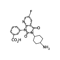 NC1CCC(n2c(=O)c3cc(F)cnc3n(-c3cccc(C(=O)O)c3)c2=O)CC1